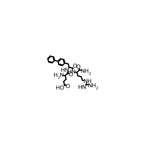 N=C(N)NCCCC(NC(=O)C(Cc1ccc(-c2ccccc2)cc1)NC(=O)C(N)CCC(=O)O)C(N)=O